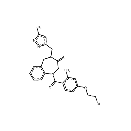 Cc1nnc(CN2Cc3ccccc3N(C(=O)c3ccc(OCCO)cc3C)CC2=O)o1